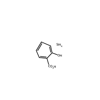 O=C(O)c1ccccc1O.[SiH4]